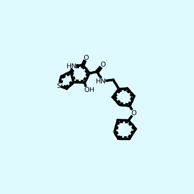 O=C(NCc1ccc(Oc2ccccc2)cc1)c1c(O)c2cscc2[nH]c1=O